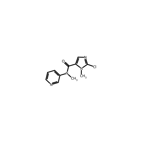 CN(C(=O)c1cnc(Cl)n1C)c1cccnc1